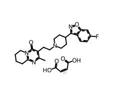 Cc1nc2n(c(=O)c1CCN1CCC(c3noc4cc(F)ccc34)CC1)CCCC2.O=C(O)/C=C\C(=O)O